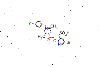 C[C@@H]1CN(Cc2ccc(Cl)cc2)[C@@H](C)CN1C(=O)COc1ncc(Br)cc1CS(=O)(=O)O